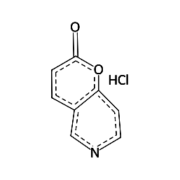 Cl.O=c1ccc2cnccc2o1